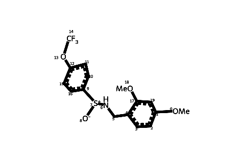 COc1ccc(CN[S+]([O-])c2ccc(OC(F)(F)F)cc2)c(OC)c1